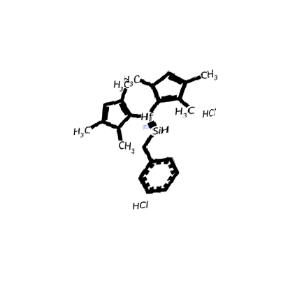 CC1=CC(C)[C](/[Hf](=[SiH]/Cc2ccccc2)[C]2=C(C)C=C(C)C2C)=C1C.Cl.Cl